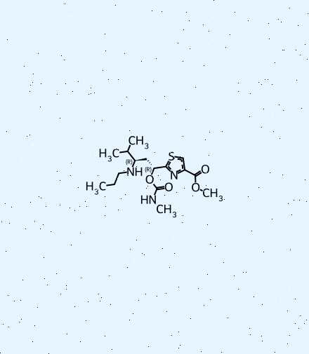 CCCN[C@H](C[C@@H](OC(=O)NC)c1nc(C(=O)OC)cs1)C(C)C